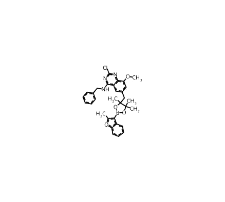 COc1cc(CC2(C)OB(c3c(C)oc4ccccc34)OC2(C)C)cc2c(NCc3ccccc3)nc(Cl)nc12